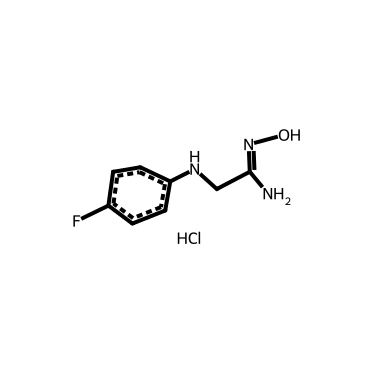 Cl.NC(CNc1ccc(F)cc1)=NO